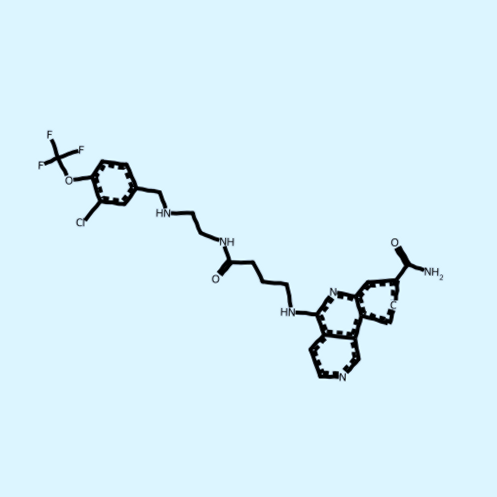 NC(=O)c1ccc2c(c1)nc(NCCCC(=O)NCCNCc1ccc(OC(F)(F)F)c(Cl)c1)c1ccncc12